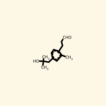 Cc1cc(CC(C)(C)O)ccc1CCC=O